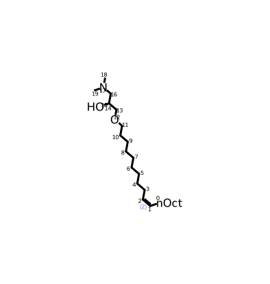 CCCCCCCC/C=C\CCCCCCCCCOCC(O)CN(C)C